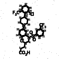 O=C(O)CCC1CN(S(=O)(=O)c2cccc(C(F)(F)F)c2)c2cc(N3CCC(c4c(Cl)cccc4C(F)(F)F)CC3)ccc2O1